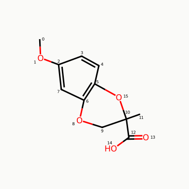 COc1ccc2c(c1)OCC(C)(C(=O)O)O2